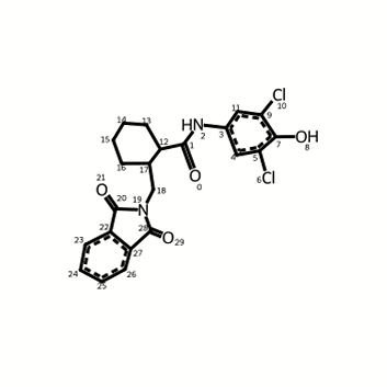 O=C(Nc1cc(Cl)c(O)c(Cl)c1)C1CCCCC1CN1C(=O)c2ccccc2C1=O